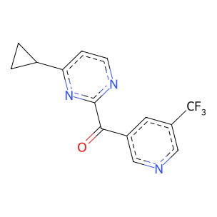 O=C(c1cncc(C(F)(F)F)c1)c1nccc(C2CC2)n1